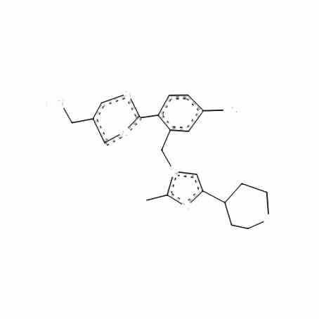 Cc1nc(C2CCOCC2)cn1Cc1cc(C#N)ccc1-c1ncc(CN)cn1